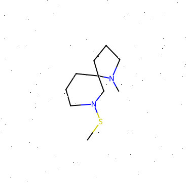 CSN1CCCC2(CCCN2C)C1